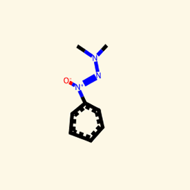 CN(C)N=[N+]([O-])c1ccccc1